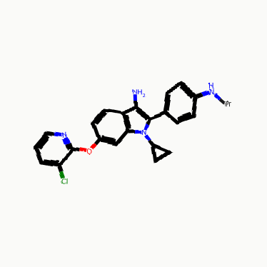 CC(C)Nc1ccc(-c2c(N)c3ccc(Oc4ncccc4Cl)cc3n2C2CC2)cc1